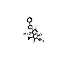 COc1c(N2CCC(c3ccccc3)C2)c(F)cn2c(=O)n(N)c(=O)c(C3CC3)c12